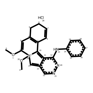 COC1=CC2=C(C=CCC2)C2=c3c(Nc4ccccc4)nncc3=C[N+]12OC.Cl